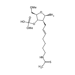 B[C@@H]1O[C@H](COC)C(OP(=O)(O)OC)[C@@H]1C/C=C/CCCCNC(C)=S